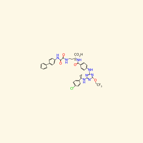 O=C(NCC[C@@H](NC(=O)c1ccc(Nc2nc(NC3(c4ccc(Cl)cc4)CC3)nc(OCC(F)(F)F)n2)cc1)C(=O)O)C(=O)Nc1ccc(-c2ccccc2)cc1